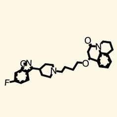 O=C1CC(OCCCCN2CCC(c3noc4cc(F)ccc34)CC2)c2cccc3c2N1CCC3